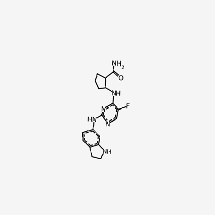 NC(=O)C1CCCC1Nc1nc(Nc2ccc3c(c2)NCC3)ncc1F